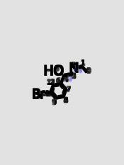 C/C=N\C=C(/O)c1cccc(Br)c1